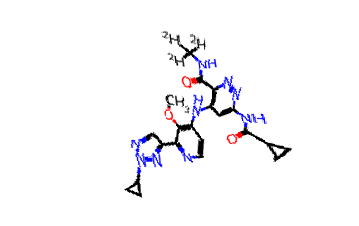 [2H]C([2H])([2H])NC(=O)c1nnc(NC(=O)C2CC2)cc1Nc1ccnc(-c2cnn(C3CC3)n2)c1OC